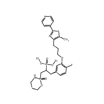 CCOP(=O)(OCC)C(Cc1ccc(F)c(OCCCc2nc(-c3ccncc3)sc2C)c1)CP1(=O)NCCCO1